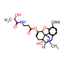 COc1ccc2c3c1OC1C(OC(=O)CCNC(=O)[C@H](C)O)=CC[C@@]4(O)[C@@H](C2)N(C)CCC314